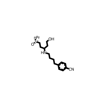 CCC[S+]([O-])CCC(CCO)NCCCCc1ccc(C#N)cc1